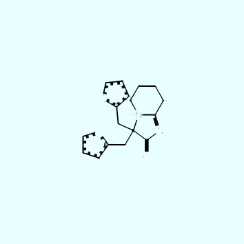 O=C1N=C2CCCCN2C1(Cc1cccs1)Cc1cccs1